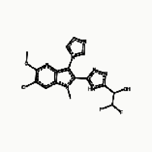 COc1nc2c(-n3ccnc3)c(-c3nnc(C(O)C(F)F)[nH]3)n(C)c2cc1Cl